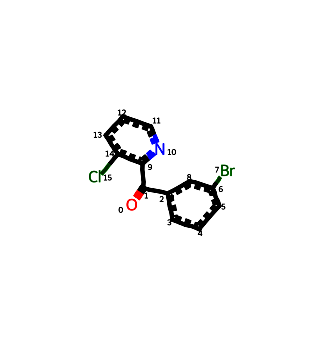 O=C(c1cccc(Br)c1)c1ncccc1Cl